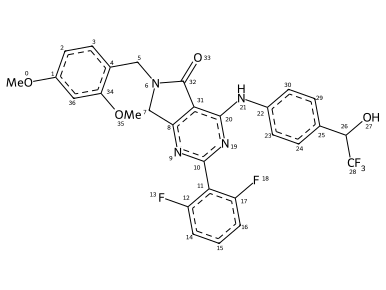 COc1ccc(CN2Cc3nc(-c4c(F)cccc4F)nc(Nc4ccc(C(O)C(F)(F)F)cc4)c3C2=O)c(OC)c1